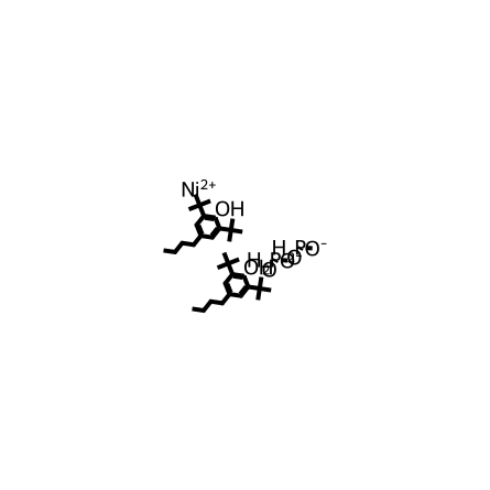 CCCCc1cc(C(C)(C)C)c(O)c(C(C)(C)C)c1.CCCCc1cc(C(C)(C)C)c(O)c(C(C)(C)C)c1.O=[PH2][O-].O=[PH2][O-].[Ni+2]